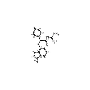 N=C(N)NC(=O)C(Cc1cccc2[nH]ccc12)c1ccccc1